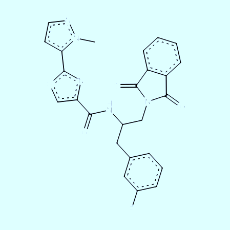 Cn1nccc1-c1nc(C(=O)NC(Cc2cccc(F)c2)CN2C(=O)c3ccccc3C2=O)co1